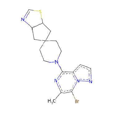 Cc1nc(N2CCC3(CC2)CC2N=CSC2C3)c2ccnn2c1Br